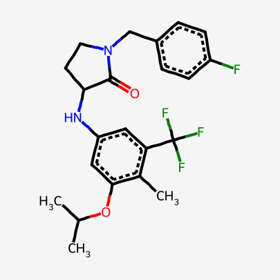 Cc1c(OC(C)C)cc(NC2CCN(Cc3ccc(F)cc3)C2=O)cc1C(F)(F)F